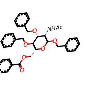 CC(=O)N[C@@H]1[C@@H](OCc2ccccc2)O[C@H](COC(=O)c2ccccc2)[C@@H](OCc2ccccc2)[C@@H]1OCc1ccccc1